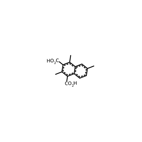 Cc1ccc2c(C(=O)O)c(C)c(C(=O)O)c(C)c2c1